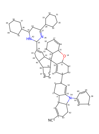 N#CC1=CC2C3CCC(C4C=C5C(CC4)OC4C=CCCC4C54C5C=C(C6N=C(C7CCCCC7)CC(C7CCCCC7)N6)CCC5C5C=CCCC54)C=C3N(C3=CCCC=C3)C2CC1